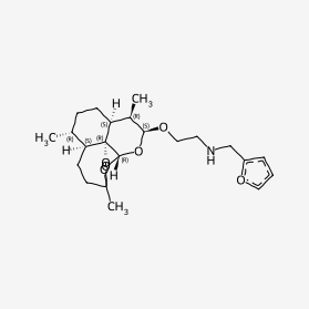 C[C@H]1[C@@H](OCCNCc2ccco2)O[C@@H]2OC3(C)CC[C@H]4[C@H](C)CC[C@@H]1[C@@]24OO3